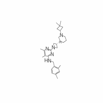 Cc1ccc(CNc2nc(N3CC([C@H]4CCCN(C5CC(C)(C)C5)C4)C3)nc(C)c2C)c(C)c1